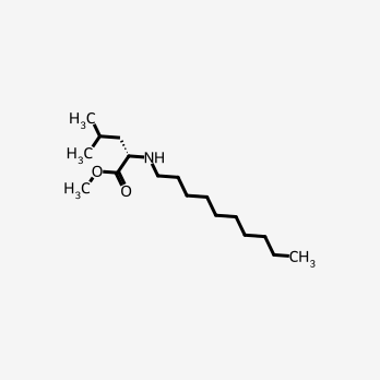 CCCCCCCCCCN[C@@H](CC(C)C)C(=O)OC